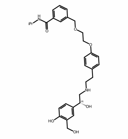 CC(C)NC(=O)c1cccc(COCCOc2ccc(CCNC[C@H](O)c3ccc(O)c(CO)c3)cc2)c1